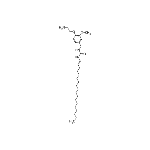 CCCCCCCCCCCCCCCCC=CNC(=O)NCc1ccc(OCCN)c(OC)c1